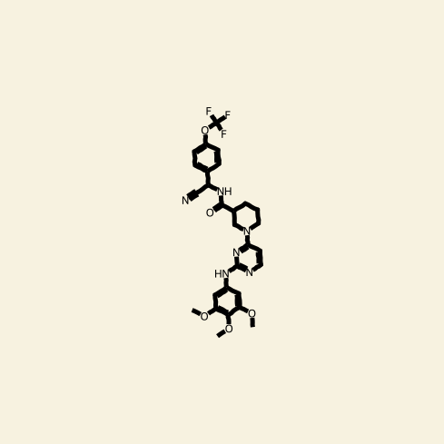 COc1cc(Nc2nccc(N3CCCC(C(=O)NC(C#N)c4ccc(OC(F)(F)F)cc4)C3)n2)cc(OC)c1OC